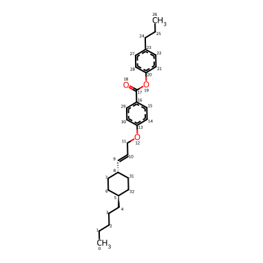 CCCCC[C@H]1CC[C@H](C=CCOc2ccc(C(=O)Oc3ccc(CCC)cc3)cc2)CC1